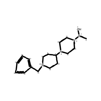 CB(O)N1CCN(C2CCN(Cc3ccccc3)CC2)CC1